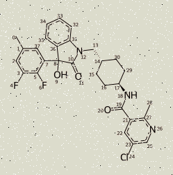 Cc1cc(F)c(F)c(C2(O)C(=O)N(C[C@H]3CC[C@H](NC(=O)c4cc(Cl)cnc4C)CC3)c3ccccc32)c1